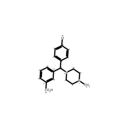 CN1CCN(C(c2ccc(Cl)cc2)c2cccc(C(=O)O)c2)CC1